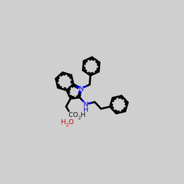 O.O=C(O)Cc1c(NCCc2ccccc2)n(Cc2ccccc2)c2ccccc12